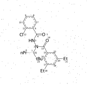 CCC[C@H](N(NC(=O)c1ccccc1Cl)C(=O)c1cc(CC)cc(CC)c1)C(C)(C)C